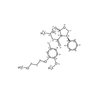 COCCCOc1cc(C[C@@H](C(=O)N2C(=O)OC[C@H]2c2ccccc2)C(C)C)ccc1OC